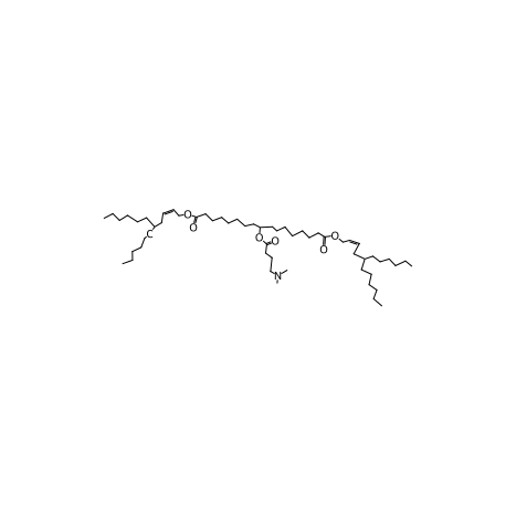 CCCCCCC(C/C=C\COC(=O)CCCCCCCC(CCCCCCCC(=O)OC/C=C\CC(CCCCCC)CCCCCC)OC(=O)CCCN(C)C)CCCCCC